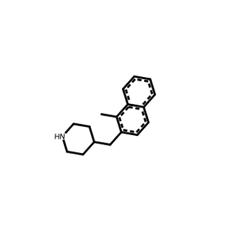 Cc1c(CC2CCNCC2)ccc2ccccc12